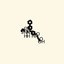 Cc1ccsc1NC(=O)NC(c1ccc(C(=O)NCCC(=O)O)cc1)C1CCC(C2CCCCC2)CC1